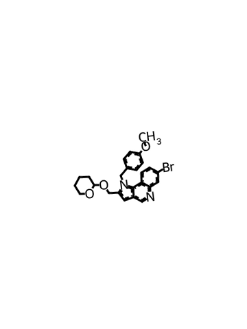 COc1ccc(Cn2c(COC3CCCCO3)cc3cnc4cc(Br)ccc4c32)cc1